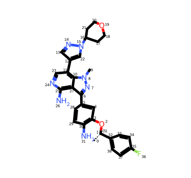 C[C@H](Oc1cc(-c2nn(C)c3c(-c4cnn(C5CCOCC5)c4)cnc(N)c23)ccc1N)c1ccc(F)cc1